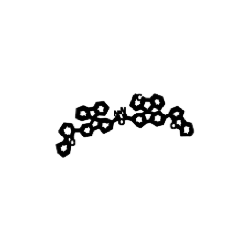 c1ccc2c(c1)-c1ccccc1C21c2cc(-c3nnc(-c4ccc5c(c4)C4(c6ccccc6-c6ccccc64)c4cc(-c6cccc7c6oc6ccccc67)ccc4-5)o3)ccc2-c2ccc(-c3cccc4c3oc3ccccc34)cc21